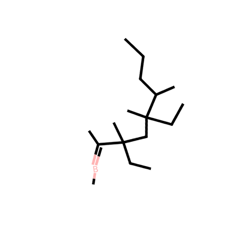 C/B=C(\C)C(C)(CC)CC(C)(CC)C(C)CCC